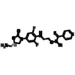 CCN(OCCNc1c(F)cc(N2C[C@H](CN)OC2=O)cc1F)C(=S)c1ccncc1